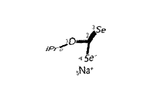 CC(C)OC(=[Se])[Se-].[Na+]